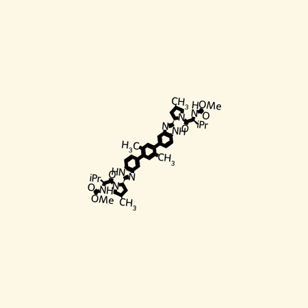 COC(=O)N[C@H](C(=O)N1C[C@@H](C)C[C@H]1c1nc2cc(-c3cc(C)c(-c4ccc5[nH]c([C@@H]6C[C@H](C)CN6C(=O)[C@@H](NC(=O)OC)C(C)C)nc5c4)cc3C)ccc2[nH]1)C(C)C